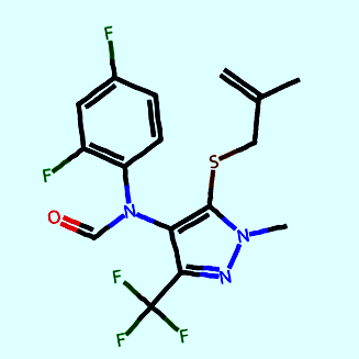 C=C(C)CSc1c(N(C=O)c2ccc(F)cc2F)c(C(F)(F)F)nn1C